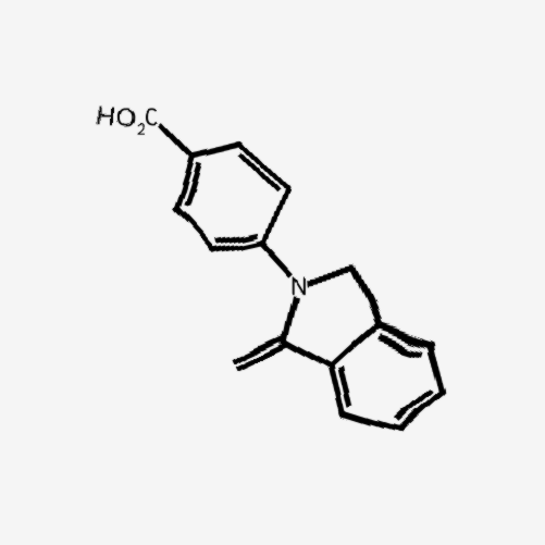 C=C1c2ccccc2CN1c1ccc(C(=O)O)cc1